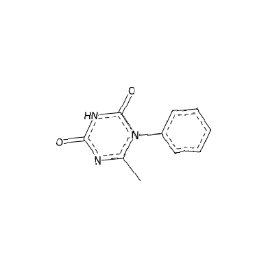 Cc1nc(=O)[nH]c(=O)n1-c1ccccc1